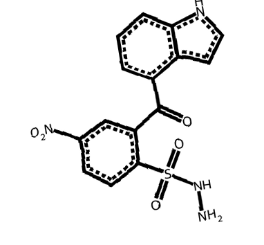 NNS(=O)(=O)c1ccc([N+](=O)[O-])cc1C(=O)c1cccc2[nH]ccc12